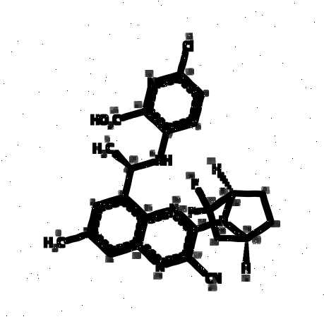 Cc1cc([C@@H](C)Nc2ccc(Cl)nc2C(=O)O)c2nc(N3[C@H]4CC[C@@H]3C(F)(F)C4)c(C#N)nc2c1